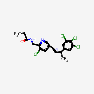 O=C(CC(F)(F)F)NCc1ncc(/C=C/C(c2cc(Cl)c(Cl)c(Cl)c2)C(F)(F)F)cc1Cl